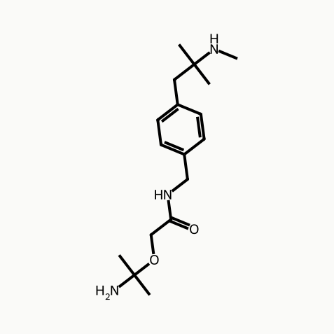 CNC(C)(C)Cc1ccc(CNC(=O)COC(C)(C)N)cc1